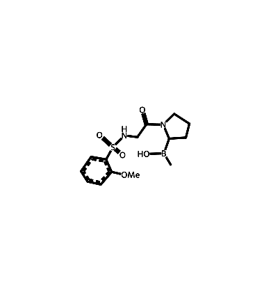 COc1ccccc1S(=O)(=O)NCC(=O)N1CCCC1B(C)O